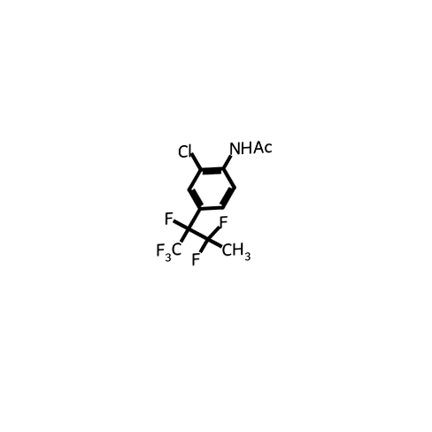 CC(=O)Nc1ccc(C(F)(C(C)(F)F)C(F)(F)F)cc1Cl